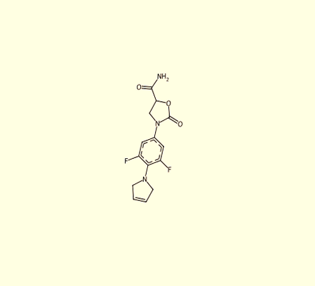 NC(=O)C1CN(c2cc(F)c(N3CC=CC3)c(F)c2)C(=O)O1